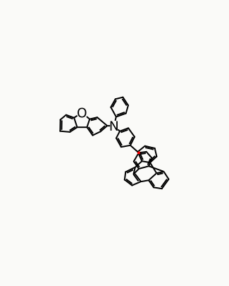 c1ccc(N(c2ccc(-c3ccc4c(c3)-c3c5cccc3-c3cccc-4c3-c3ccccc3-5)cc2)c2ccc3c(c2)oc2ccccc23)cc1